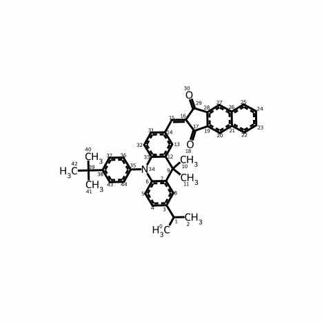 CC(C)c1ccc2c(c1)C(C)(C)c1cc(C=C3C(=O)c4cc5ccccc5cc4C3=O)ccc1N2c1ccc(C(C)(C)C)cc1